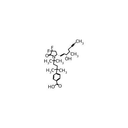 CC#CC[C@H](C)[C@H](O)/C=C/[C@H]1CC(F)(F)C(=O)N1C(C)(C)CCC(C)(C)c1ccc(C(=O)O)cc1